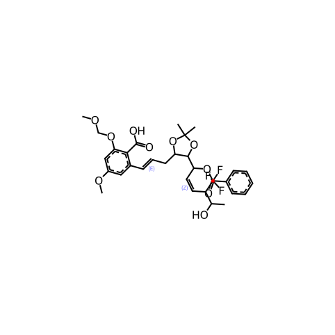 COCOc1cc(OC)cc(/C=C/CC2OC(C)(C)OC2C(/C=C\C(C(C)O)C(F)(F)F)OC(=O)c2ccccc2)c1C(=O)O